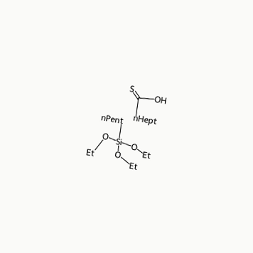 CCCCCCCC(O)=S.CCCCC[Si](OCC)(OCC)OCC